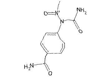 C[N+](=O)N(C(N)=O)c1ccc(C(N)=O)cc1